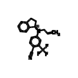 C=CCN(c1ccc(C#N)c(C(F)(F)F)c1)[C@@H]1CCc2ccccc21